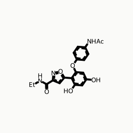 CCNC(=O)c1cc(-c2c(O)cc(O)cc2Oc2ccc(NC(C)=O)cc2)on1